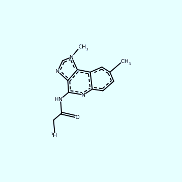 [3H]CC(=O)Nc1nc2ccc(C)cc2c2c1ncn2C